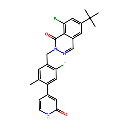 Cc1cc(Cn2ncc3cc(C(C)(C)C)cc(F)c3c2=O)c(F)cc1-c1cc[nH]c(=O)c1